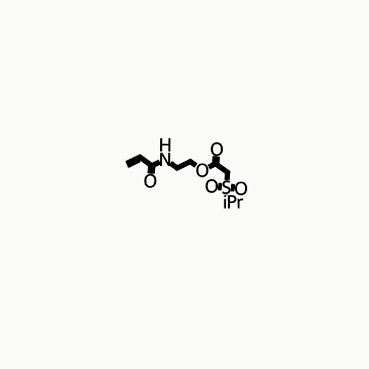 C=CC(=O)NCCOC(=O)CS(=O)(=O)C(C)C